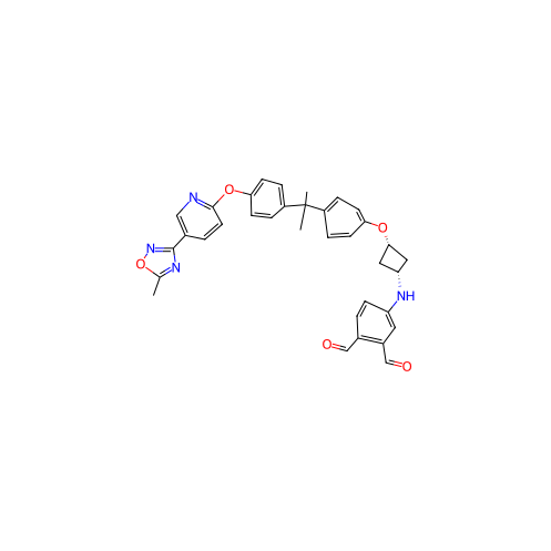 Cc1nc(-c2ccc(Oc3ccc(C(C)(C)c4ccc(O[C@H]5C[C@@H](Nc6ccc(C=O)c(C=O)c6)C5)cc4)cc3)nc2)no1